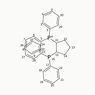 c1ccc(P(c2ccccc2)C2CCCC2P(c2ccccc2)c2ccccc2)cc1